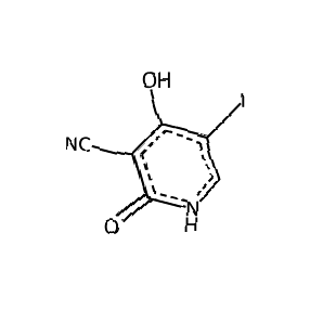 N#Cc1c(O)c(I)c[nH]c1=O